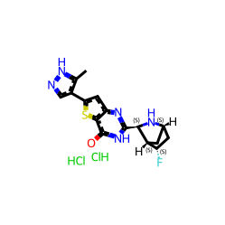 Cc1[nH]ncc1-c1cc2nc([C@H]3N[C@H]4C[C@@H]3[C@@H](F)C4)[nH]c(=O)c2s1.Cl.Cl